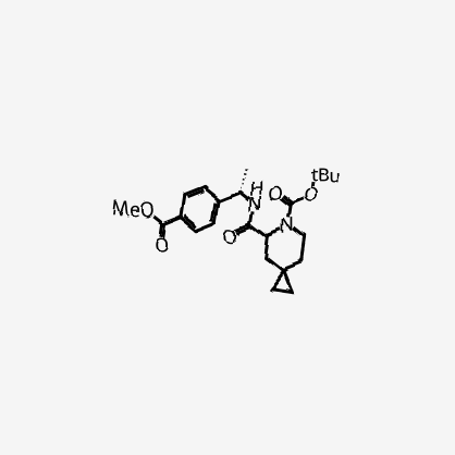 COC(=O)c1ccc([C@H](C)NC(=O)C2CC3(CCN2C(=O)OC(C)(C)C)CC3)cc1